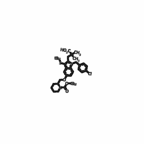 CC(C)(C)OC(=O)N1CCCCC1COc1ccc2c(c1)c(SC(C)(C)C)c(CC(C)(C)C(=O)O)n2Cc1ccc(Cl)cc1